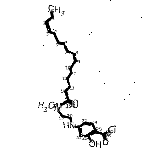 CC/C=C\CCCC/C=C\CCCCCC(=O)N(C)CCNc1ccc(C(=O)Cl)c(O)c1